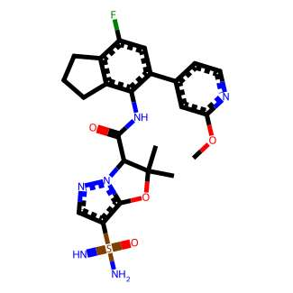 COc1cc(-c2cc(F)c3c(c2NC(=O)C2n4ncc(S(=N)(N)=O)c4OC2(C)C)CCC3)ccn1